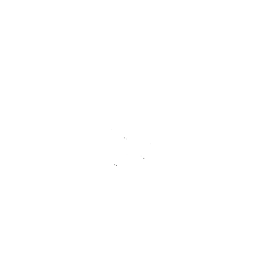 C=CCCC(=O)n1c(N)nc2ccccc21